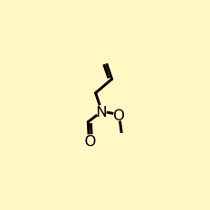 C=CCN(C=O)OC